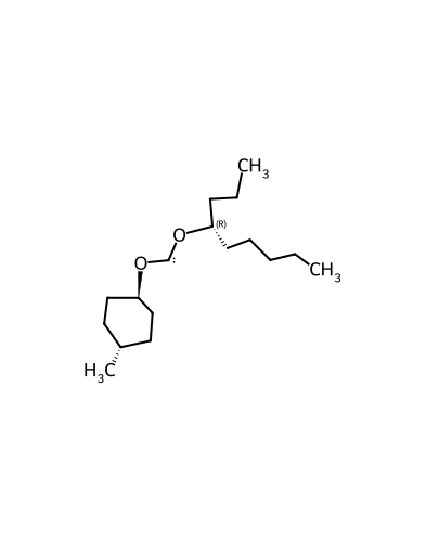 CCCCC[C@@H](CCC)O[C]O[C@H]1CC[C@H](C)CC1